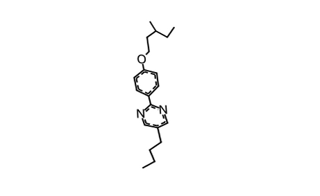 CCCCc1cnc(-c2ccc(OCCC(C)CC)cc2)nc1